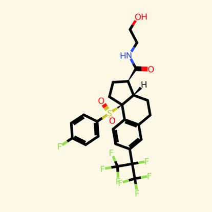 O=C(NCCO)[C@@H]1CC[C@@]2(S(=O)(=O)c3ccc(F)cc3)c3ccc(C(F)(C(F)(F)F)C(F)(F)F)cc3CC[C@@H]12